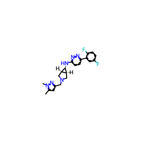 Cc1cc(CN2C[C@@H]3[C@H](C2)[C@H]3Nc2ccc(-c3cc(F)ccc3F)nn2)nn1C